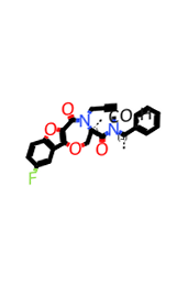 C#CCN1C(=O)c2oc3ccc(F)cc3c2OC[C@]1(C)C(=O)N(C(=O)O)[C@@H](C)c1ccccc1